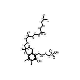 Cc1c(C)c2c(c(CSCCS(=O)(=O)O)c1O)CCC(C)(CCCC(C)CCCC(C)CCCC(C)C)O2